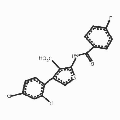 O=C(Nc1scc(-c2ccc(Cl)cc2Cl)c1C(=O)O)c1ccc(F)cc1